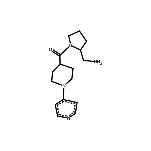 NCC1CCCN1C(=O)C1CCN(c2ccncc2)CC1